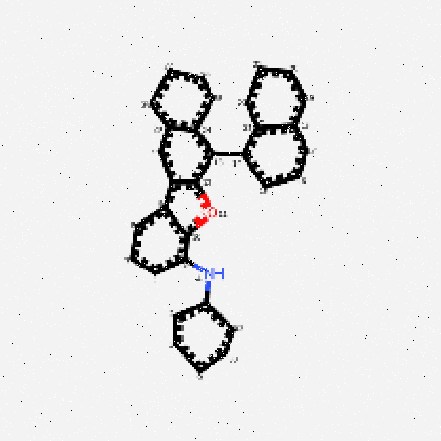 c1ccc(Nc2cccc3c2oc2c(-c4cccc5ccccc45)c4ccccc4cc23)cc1